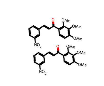 COc1ccc(C(=O)/C=C/c2cccc([N+](=O)[O-])c2)c(OC)c1OC.COc1ccc(C(=O)/C=C/c2cccc([N+](=O)[O-])c2)c(OC)c1OC